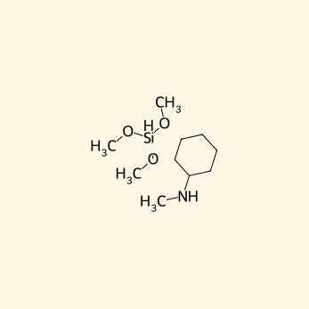 CNC1CCCCC1.CO[SiH](OC)OC